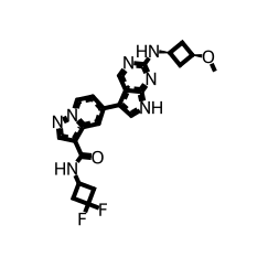 CO[C@H]1C[C@@H](Nc2ncc3c(-c4ccn5ncc(C(=O)NC6CC(F)(F)C6)c5c4)c[nH]c3n2)C1